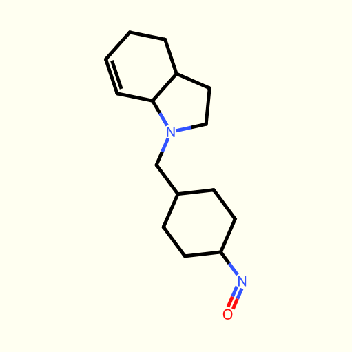 O=NC1CCC(CN2CCC3CCC=CC32)CC1